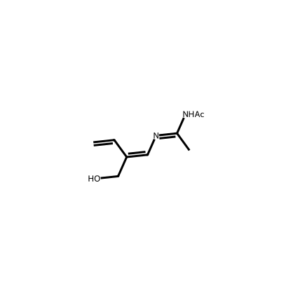 C=C/C(=C\N=C(/C)NC(C)=O)CO